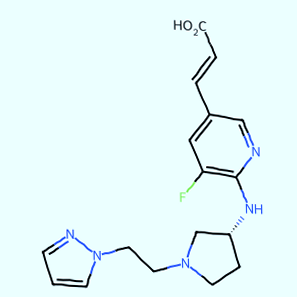 O=C(O)C=Cc1cnc(N[C@@H]2CCN(CCn3cccn3)C2)c(F)c1